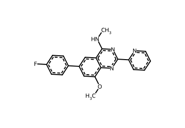 CNc1nc(-c2ccccn2)nc2c(OC)cc(-c3ccc(F)cc3)cc12